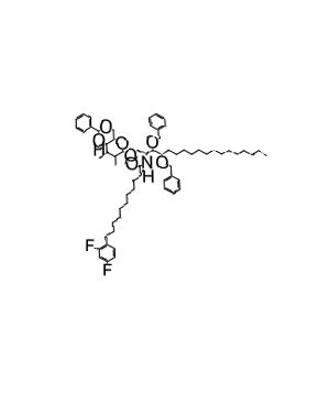 CCCCCCCCCCCCCC[C@@H](OCc1ccccc1)[C@@H](OCc1ccccc1)[C@H](CO[C@H]1OC2COC(c3ccccc3)O[C@@H]2[C@H](C)C1C)NC(=O)CCCCCCCCCCc1ccc(F)cc1F